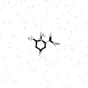 COC(=O)[C@@H]1CC(=O)CC(C)N1C